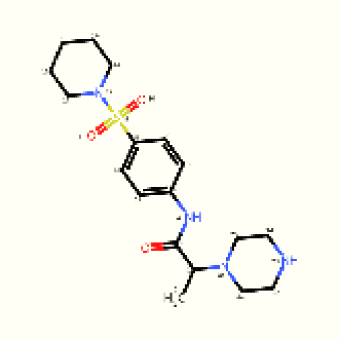 CC(C(=O)Nc1ccc(S(=O)(=O)N2CCCCC2)cc1)N1CCNCC1